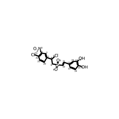 O=[N+]([O-])c1cc(C(Cl)CS(=O)(=O)C=Cc2ccc(O)c(O)c2)ccc1Cl